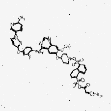 C=CC(=O)OS(=O)(=O)c1cccc2c(S(=O)(=O)ON3CCC(Oc4cc5c(Nc6ccc(Oc7ccn(-c8ccc(C)nc8)n7)cc6F)ncnc5cc4OC)CC3)cccc12